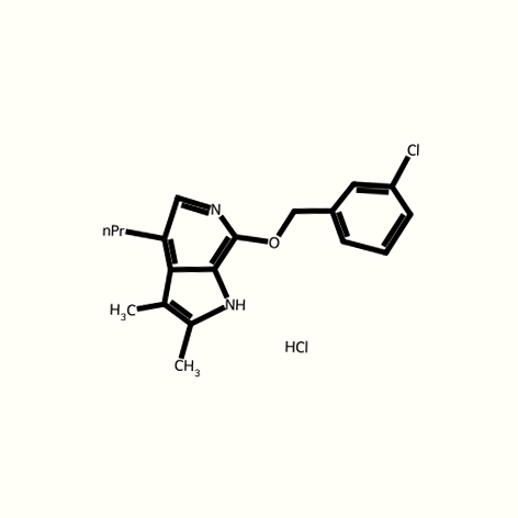 CCCc1cnc(OCc2cccc(Cl)c2)c2[nH]c(C)c(C)c12.Cl